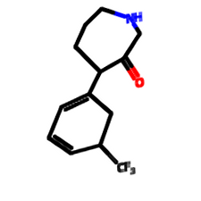 O=C1CNCCCC1C1=CC=CC(C(F)(F)F)C1